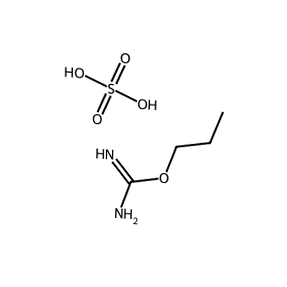 CCCOC(=N)N.O=S(=O)(O)O